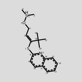 C[SiH](C)OCC=C(Sc1ccc2ccccc2n1)C(C)(C)C